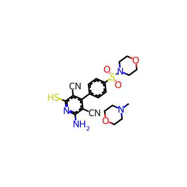 CN1CCOCC1.N#Cc1c(N)nc(S)c(C#N)c1-c1ccc(S(=O)(=O)N2CCOCC2)cc1